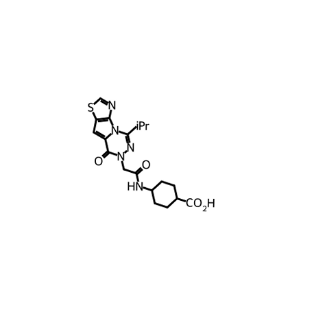 CC(C)c1nn(CC(=O)NC2CCC(C(=O)O)CC2)c(=O)c2cc3scnc3n12